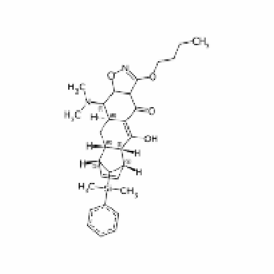 CCCCOC1=NOC2C1C(=O)C1=C(O)[C@H]3[C@@H](C[C@H]1[C@H]2N(C)C)[C@H]1C=C[C@@H]3C1[Si](C)(C)c1ccccc1